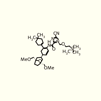 COC[C@@]12CC[C@@](COC)(C[C@@H](C3C=CC(NC(=O)c4nc(C#N)cn4COCC[Si](C)(C)C)=C(C4=CCC(C)(C)CC4)C3)C1)O2